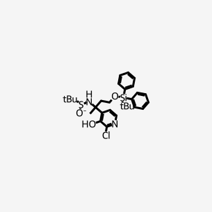 CC(CCO[Si](c1ccccc1)(c1ccccc1)C(C)(C)C)(N[S+]([O-])C(C)(C)C)c1ccnc(Cl)c1O